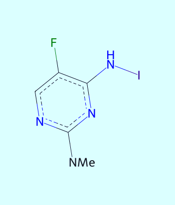 CNc1ncc(F)c(NI)n1